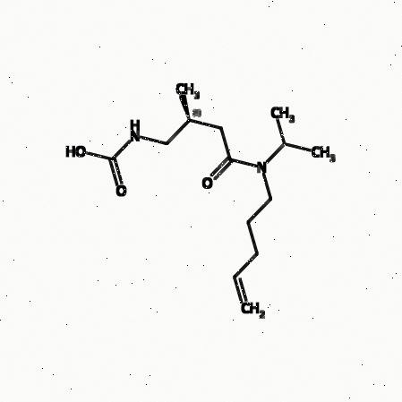 C=CCCCN(C(=O)C[C@H](C)CNC(=O)O)C(C)C